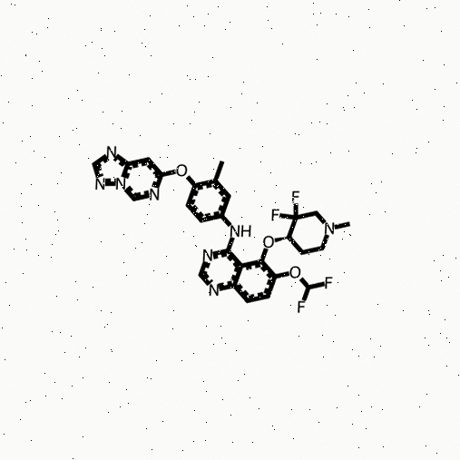 Cc1cc(Nc2ncnc3ccc(OC(F)F)c(O[C@@H]4CCN(C)CC4(F)F)c23)ccc1Oc1cc2ncnn2cn1